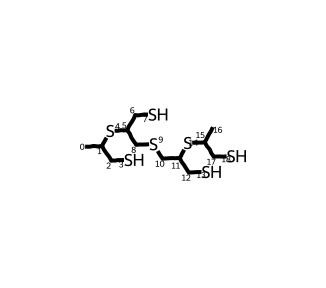 CC(CS)SC(CS)CSCC(CS)SC(C)CS